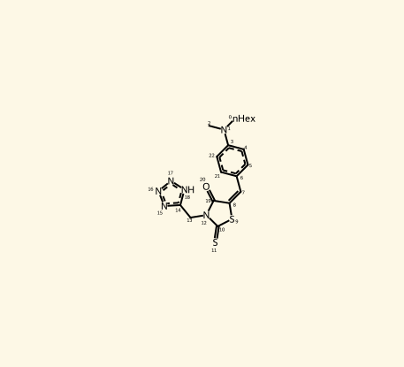 CCCCCCN(C)c1ccc(C=C2SC(=S)N(Cc3nnn[nH]3)C2=O)cc1